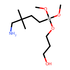 CO[Si](CCC(C)(C)CN)(OC)OCCCO